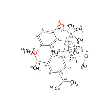 COc1ccc(OC)c(P(C(C)(C)C)C(C)(C)C)c1-c1c(C(C)C)cc(C(C)C)cc1C(C)C.[Cl][Au]